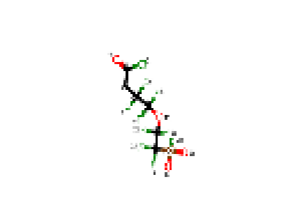 O=C(Cl)CC(F)(F)C(F)(F)OC(F)(F)C(F)(F)S(=O)(=O)F